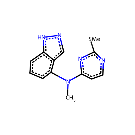 CSc1nccc(N(C)c2cccc3[nH]ncc23)n1